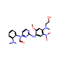 COc1cc(N(C)CCO)c([N+](=O)[O-])cc1Nc1nccc(N(C=O)c2ccccc2N(C)C)n1